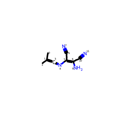 CC(C)=C=N/C(C#N)=C(\N)C#N